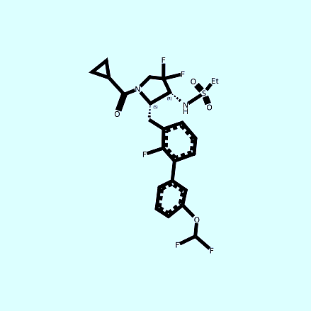 CCS(=O)(=O)N[C@@H]1[C@H](Cc2cccc(-c3cccc(OC(F)F)c3)c2F)N(C(=O)C2CC2)CC1(F)F